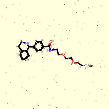 COCCOCCOCCNC(=O)c1ccc(C2NCCc3ccccc32)cc1